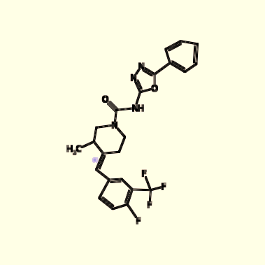 CC1CN(C(=O)Nc2nnc(-c3ccccc3)o2)CC/C1=C\c1ccc(F)c(C(F)(F)F)c1